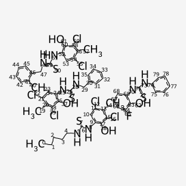 CCCCCNC(=S)Nc1cc(Cl)c(C)c(Cl)c1O.Cc1c(Cl)cc(NC(=S)NCc2ccccc2)c(O)c1Cl.Cc1ccccc1CNC(=S)Nc1cc(Cl)c(C)c(Cl)c1O.Oc1c(F)cccc1NC(=S)Nc1ccccc1